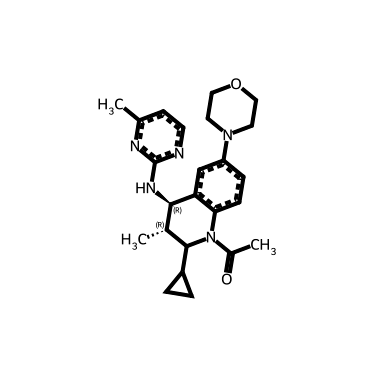 CC(=O)N1c2ccc(N3CCOCC3)cc2[C@H](Nc2nccc(C)n2)[C@@H](C)C1C1CC1